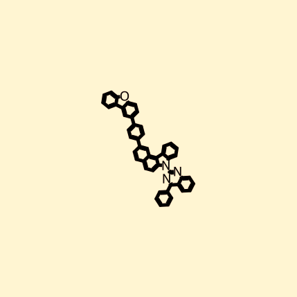 c1ccc(-c2nc(-n3c4ccccc4c4c5cc(-c6ccc(-c7ccc8oc9ccccc9c8c7)cc6)ccc5ccc43)nc3ccccc23)cc1